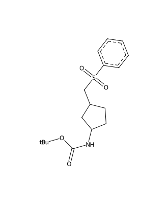 CC(C)(C)OC(=O)NC1CCC(CS(=O)(=O)c2ccccc2)C1